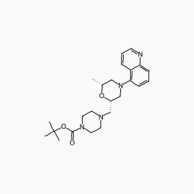 C[C@@H]1CN(c2cccc3ncccc23)C[C@H](CN2CCN(C(=O)OC(C)(C)C)CC2)O1